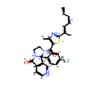 C=C/C=C\C=C(/C)c1nc(C)c(C(=O)N2CCN3C(=O)c4ccncc4C32c2ccc(Cl)cc2)s1